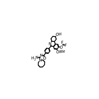 COc1cc2c(cc1OC(F)F)C1CC(O)CCC1N=C2c1ccc(C(=O)N=C(N)N2CCCCCCC2)cc1